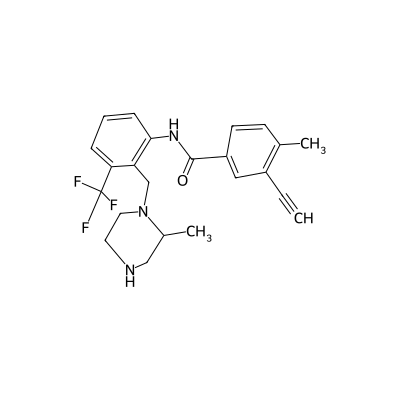 C#Cc1cc(C(=O)Nc2cccc(C(F)(F)F)c2CN2CCNCC2C)ccc1C